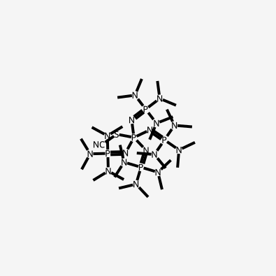 CN(C)P(=NP(N=P(N(C)C)(N(C)C)N(C)C)(N=P(N(C)C)(N(C)C)N(C)C)(N=P(N(C)C)(N(C)C)N(C)C)SC#N)(N(C)C)N(C)C